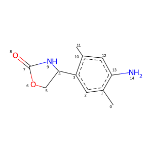 Cc1cc(C2COC(=O)N2)c(C)cc1N